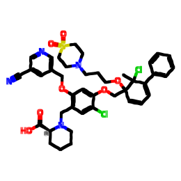 CC1(Cl)C(c2ccccc2)=CC=CC1(COc1cc(OCc2cncc(C#N)c2)c(CN2CCCC[C@H]2C(=O)O)cc1Cl)OCCCN1CCS(=O)(=O)CC1